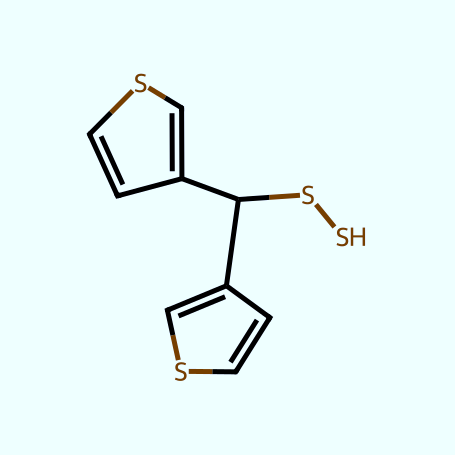 SSC(c1ccsc1)c1ccsc1